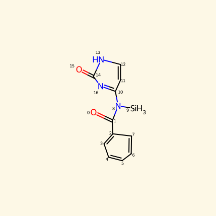 O=C(c1ccccc1)N([SiH3])c1cc[nH]c(=O)n1